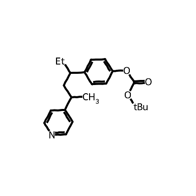 CCC(CC(C)c1ccncc1)c1ccc(OC(=O)OC(C)(C)C)cc1